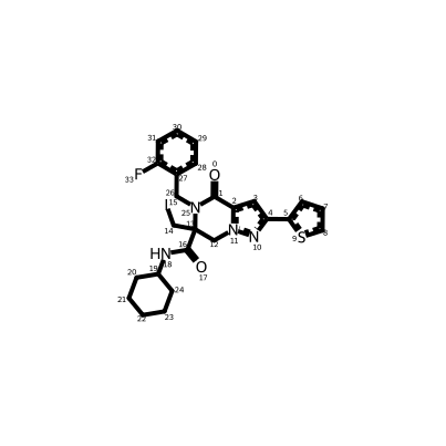 O=C1c2cc(-c3cccs3)nn2CC(CI)(C(=O)NC2CCCCC2)N1Cc1ccccc1F